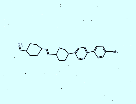 C=CC1CCC(/C=C/C2CCC(c3ccc(-c4ccc(CCCC)cc4)cc3)CC2)CC1